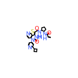 C=CC(=O)N[C@@H]1CCC[C@H]1NC(=O)c1sc2nccc3c2c1NC(=O)N3c1ccnc(C2CCC2)c1